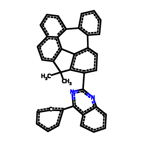 CC1(C)c2ccc3cccc4c3c2-c2c(ccc(-c3nc(-c5ccccc5)c5ccccc5n3)c21)-c1ccccc1-4